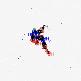 CCCS(=O)(=O)c1ccc(Nc2nc(F)nc(Nc3ccc(S(=O)(=O)O)c(/N=N/c4c(SOOO)cc5c(/N=N/c6ccc(S(=O)(=O)CCOSOOO)cc6)c(N)ccc5c4O)c3)n2)cc1